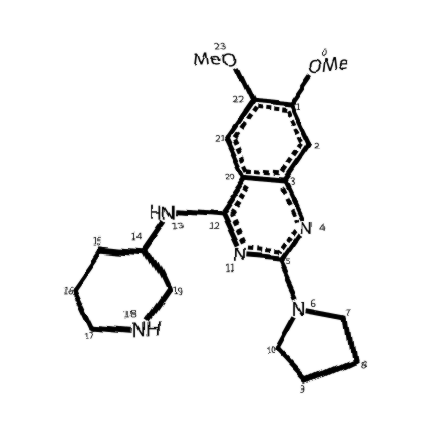 COc1cc2nc(N3CCCC3)nc(NC3CCCNC3)c2cc1OC